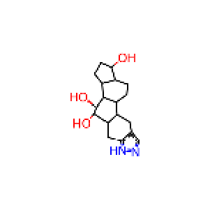 OC1CCC2C1CCC1C3Cc4cn[nH]c4CC3C(O)[C@@H](O)C21